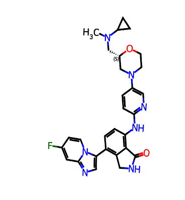 CN(C[C@H]1CN(c2ccc(Nc3ccc(-c4cnc5cc(F)ccn45)c4c3C(=O)NC4)nc2)CCO1)C1CC1